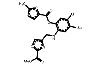 COC(=O)c1nc(CNc2cc(C(C)(C)C)c(Cl)cc2OC(=O)c2cnc(C)o2)co1